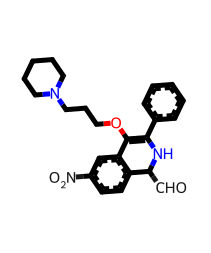 O=CC1NC(c2ccccc2)=C(OCCCN2CCCCC2)c2cc([N+](=O)[O-])ccc21